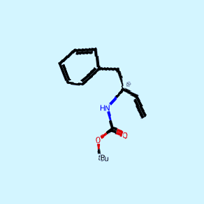 C=C[C@H](Cc1ccccc1)NC(=O)OC(C)(C)C